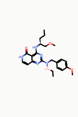 CCBN(Cc1ccc(OC)cc1)c1nc(N[C@@H](CCC)COC)c2c(=O)[nH]ccc2n1